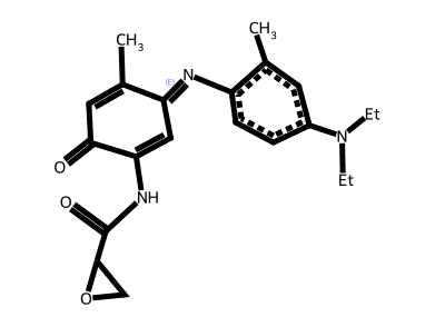 CCN(CC)c1ccc(/N=C2\C=C(NC(=O)C3CO3)C(=O)C=C2C)c(C)c1